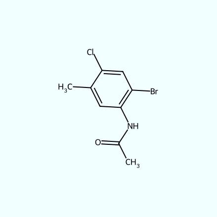 CC(=O)Nc1cc(C)c(Cl)cc1Br